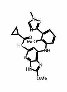 COc1nc2c(Nc3cccc(-c4ncn(C)n4)c3OC)cc(NC(=O)C3CC3)nc2[nH]1